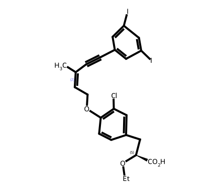 CCO[C@@H](Cc1ccc(OC/C=C(/C)C#Cc2cc(I)cc(I)c2)c(Cl)c1)C(=O)O